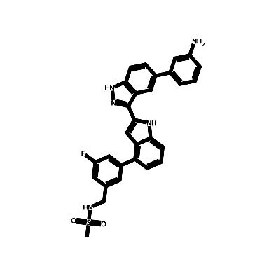 CS(=O)(=O)NCc1cc(F)cc(-c2cccc3[nH]c(-c4n[nH]c5ccc(-c6cccc(N)c6)cc45)cc23)c1